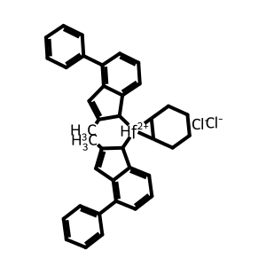 CC1=Cc2c(-c3ccccc3)cccc2[CH]1[Hf+2]1([CH]2C(C)=Cc3c(-c4ccccc4)cccc32)[CH]2CCCC[CH]21.[Cl-].[Cl-]